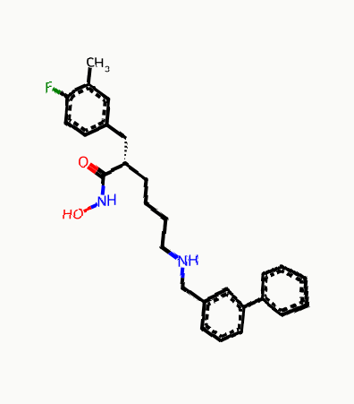 Cc1cc(C[C@H](CCCCNCc2cccc(-c3ccccc3)c2)C(=O)NO)ccc1F